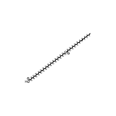 CCCCCCC=CCCCCCCCCCCCC(=O)OCCCCCCCCCCCCCCCCCCCCCCCCCCCCCC(=O)O